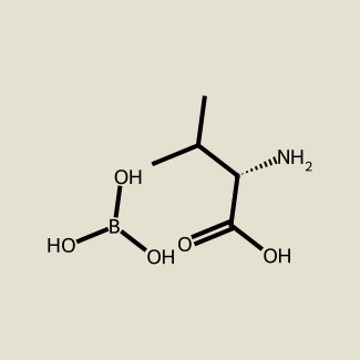 CC(C)[C@H](N)C(=O)O.OB(O)O